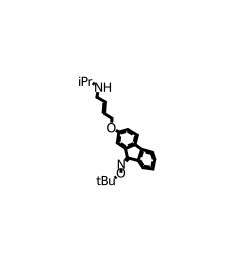 CC(C)NC/C=C/COc1ccc2c(c1)/C(=N/OC(C)(C)C)c1ccccc1-2